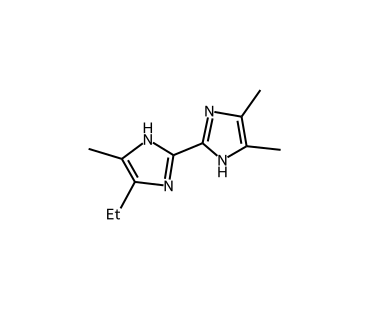 CCc1nc(-c2nc(C)c(C)[nH]2)[nH]c1C